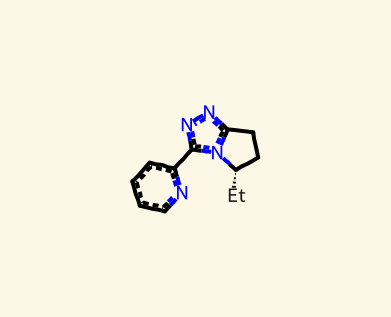 CC[C@H]1CCc2nnc(-c3ccccn3)n21